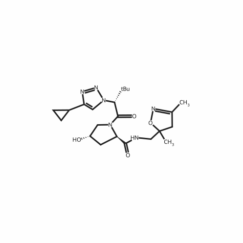 CC1=NOC(C)(CNC(=O)[C@H]2C[C@H](O)CN2C(=O)[C@H](n2cc(C3CC3)nn2)C(C)(C)C)C1